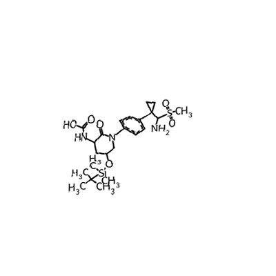 CC(C)(C)[Si](C)(C)OC1CC(NC(=O)O)C(=O)N(c2ccc(C3(C(N)S(C)(=O)=O)CC3)cc2)C1